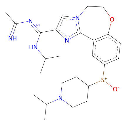 CC(=N)/N=C(\NC(C)C)c1cn2c(n1)-c1cc([S+]([O-])C3CCN(C(C)C)CC3)ccc1OCC2